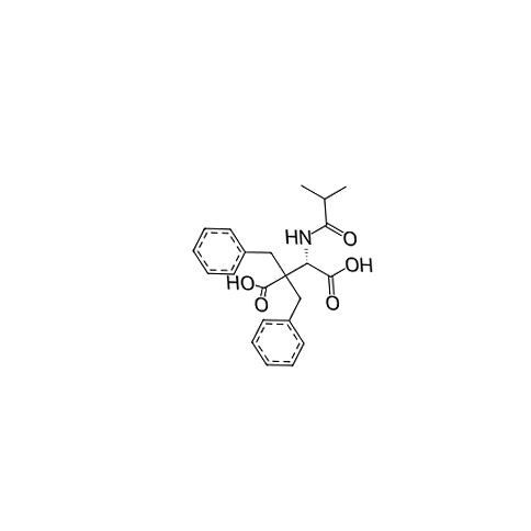 CC(C)C(=O)N[C@H](C(=O)O)C(Cc1ccccc1)(Cc1ccccc1)C(=O)O